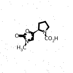 Cn1cc([C@H]2CCCN2C(=O)O)oc1=O